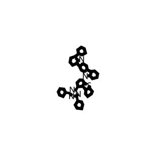 c1ccc(-c2nc(-c3ccccc3)nc(-c3ccc(-n4c5ccccc5c5cc6c(cc54)c4cccc5c7ccccc7n6c54)c4sc5ccccc5c34)n2)cc1